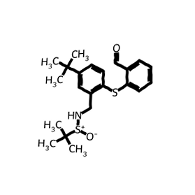 CC(C)(C)c1ccc(Sc2ccccc2C=O)c(CN[S+]([O-])C(C)(C)C)c1